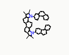 Cc1c(C)n(-c2ccc3c(ccc4ccccc43)c2)c2c1ccc1c3ccc4c(C)c(C)n(-c5ccc6c(ccc7ccccc76)c5)c4c3ccc12